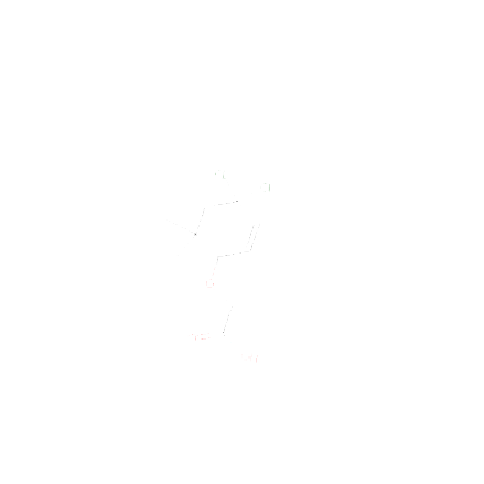 CC1(C)CC(Cl)(Cl)C=CC1OCC(=O)O